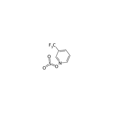 FC(F)(F)c1cccnc1.O=S(=O)=O